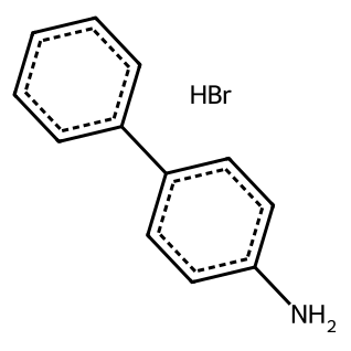 Br.Nc1ccc(-c2ccccc2)cc1